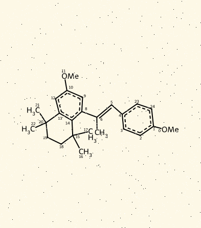 COc1ccc(/C=C(\C)c2cc(OC)cc3c2C(C)(C)CCC3(C)C)cc1